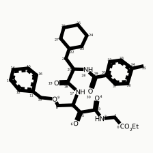 CCOC(=O)CNC(=O)C(=O)C(COCc1ccccc1)NC(=O)C(CC1CCCCC1)NC(=O)c1ccc(C)cc1